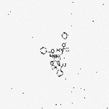 O=C(NCCC[C@@H](C(=O)NCC(=O)c1ccccc1)N1C(=O)c2ccccc2C1=O)OCc1ccccc1